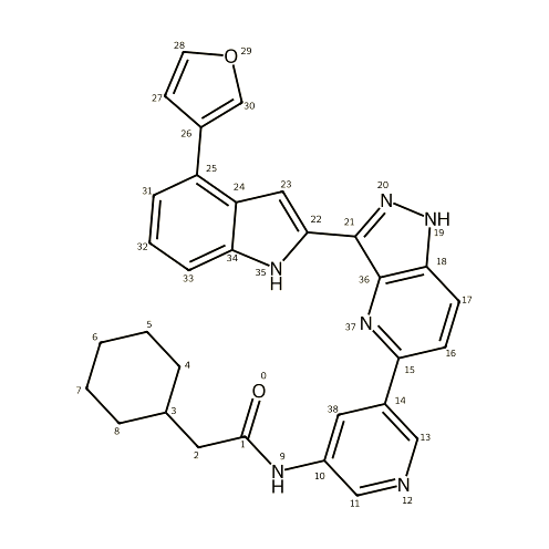 O=C(CC1CCCCC1)Nc1cncc(-c2ccc3[nH]nc(-c4cc5c(-c6ccoc6)cccc5[nH]4)c3n2)c1